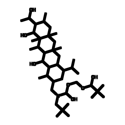 CC(C)C1CC(CN(CC(C)(C)C)C(O)OCOC(O)C(C)(C)C)C(C)C2C(O)C3C(C)C4(C)C(O)C(C(C)O)C(C)CC4(C)CC3(C)CC12